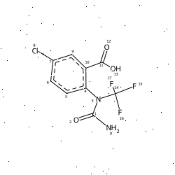 NC(=O)N(c1ccc(Cl)cc1C(=O)O)C(F)(F)F